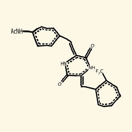 CC(=O)Nc1ccc(/C=c2\[nH]c(=O)/c(=C/c3ccccc3C(F)(F)F)[nH]c2=O)cc1